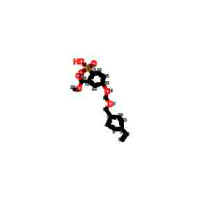 C=Cc1ccc(COCOc2ccc(S(=O)(=O)O)c(C(=O)OC)c2)cc1